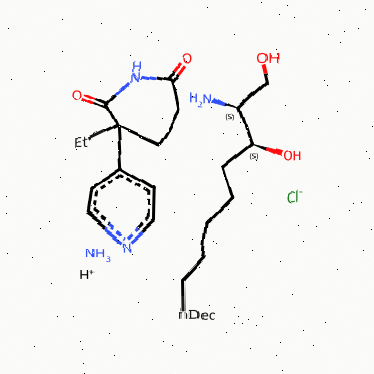 CCC1(c2ccncc2)CCC(=O)NC1=O.CCCCCCCCCCCCCCC[C@H](O)[C@@H](N)CO.N.[Cl-].[H+]